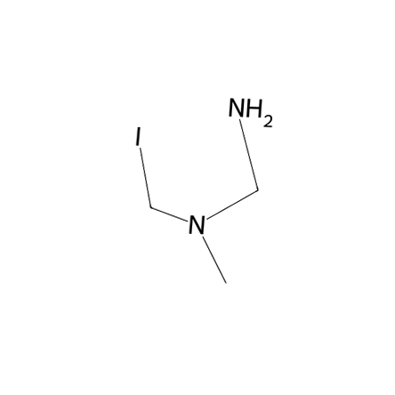 CN(CN)CI